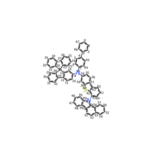 c1ccc(-c2ccc(N(c3ccc4c(c3)C(c3ccccc3)(c3ccccc3)c3ccccc3-4)c3ccc4c(c3)sc3c(-n5c6ccccc6c6ccc7ccccc7c65)cccc34)cc2)cc1